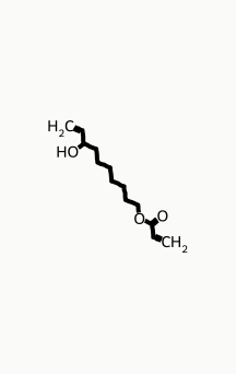 C=CC(=O)OCCCCCCCC(O)C=C